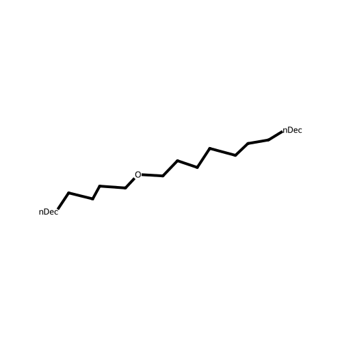 [CH2]CCCCCCCCCCCCCCCCOCCCCCCCCCCCCC[CH2]